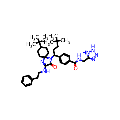 CC(C)(C)CCC(c1ccc(C(=O)NCC2N=NNN2)cc1)N1C(=O)C(NCCc2ccccc2)=NC12CCC(C(C)(C)C)CC2